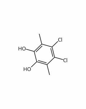 Cc1c(O)c(O)c(C)c(Cl)c1Cl